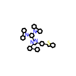 c1ccc(-c2ccccc2-c2cc(-c3ccc(-c4cc5ccccc5s4)cc3)nc(-c3cc(-n4c5ccccc5c5ccccc54)cc(-n4c5ccccc5c5ccccc54)c3)n2)cc1